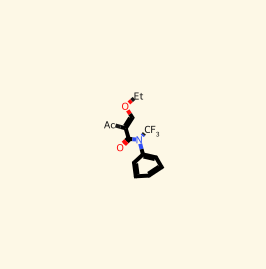 CCOC=C(C(C)=O)C(=O)N(c1ccccc1)C(F)(F)F